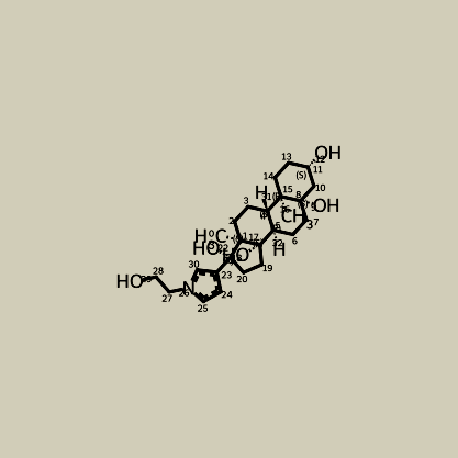 C[C@]12CC[C@H]3[C@@H](CC[C@]4(O)C[C@@H](O)CC[C@]34C)[C@@]1(O)CC[C@@]2(O)c1ccn(CCO)c1